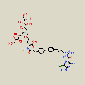 CN(C(=O)CCc1ccc(-c2ccc(CCCCNC(=N)NC(=O)c3nc(Cl)c(N)nc3N)cc2)cc1)[C@@H](CCCCN(C[C@H](O)[C@@H](O)[C@H](O)[C@H](O)CO)C[C@H](O)[C@@H](O)[C@H](O)[C@H](O)CO)C(=O)O